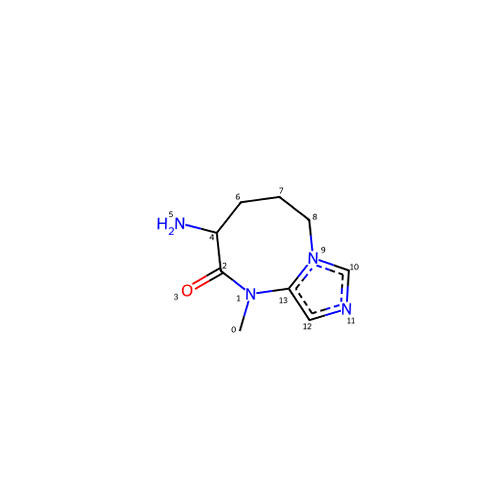 CN1C(=O)C(N)CCCn2cncc21